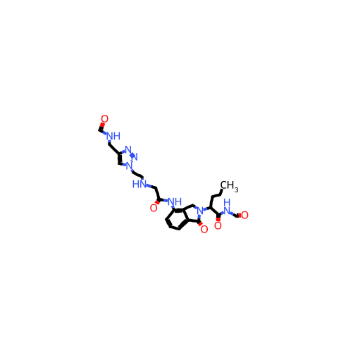 CCCC(C(=O)NC=O)N1Cc2c(NC(=O)CNCCn3cc(CNC=O)nn3)cccc2C1=O